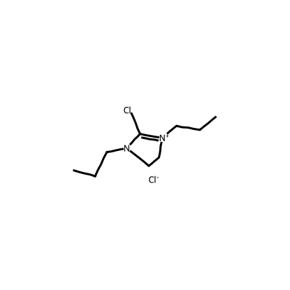 CCCN1CC[N+](CCC)=C1Cl.[Cl-]